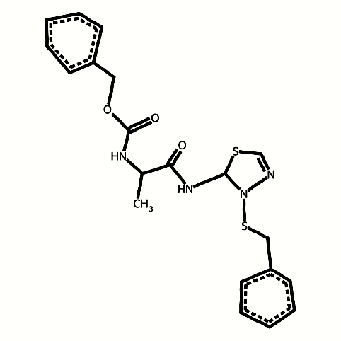 CC(NC(=O)OCc1ccccc1)C(=O)NC1SC=NN1SCc1ccccc1